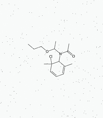 CCCOC(C)N(C(C)=O)C1C(C)=CC=CC1(C)Cl